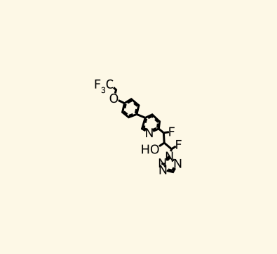 OC(C(F)c1ccc(-c2ccc(OCC(F)(F)F)cc2)cn1)C(F)n1ncnn1